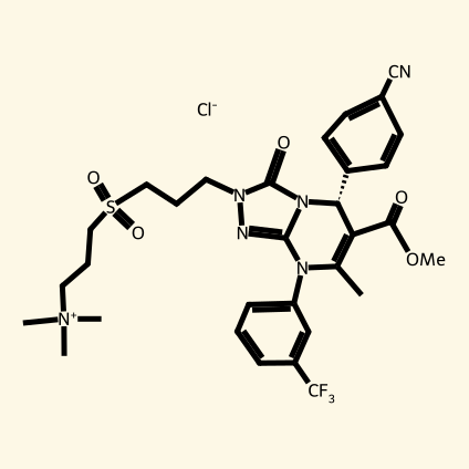 COC(=O)C1=C(C)N(c2cccc(C(F)(F)F)c2)c2nn(CCCS(=O)(=O)CCC[N+](C)(C)C)c(=O)n2[C@@H]1c1ccc(C#N)cc1.[Cl-]